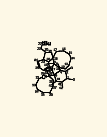 CC1C(C)C(C)C(N(C)C2(C)CCCCCCCC23CC(CC(C)(C)C)C2C=CC=CC23)(C2(C)CCCCCCCC2)C(C)C1C